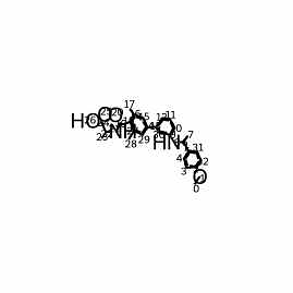 COc1ccc(C(C)Nc2cccc(-c3cc(C)c(C(=O)N[C@@H](C)C(=O)O)c(C)c3)c2)cc1